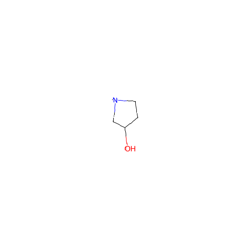 OC1CC[N]C1